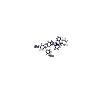 CC(C)(C)c1ccc(N(c2ccc(C(C)(C)C)cc2)c2ccc3nc4n(c3c2)-c2cccc3c2B4c2cccc4c2N3C2(C)CCCCC42C)cc1